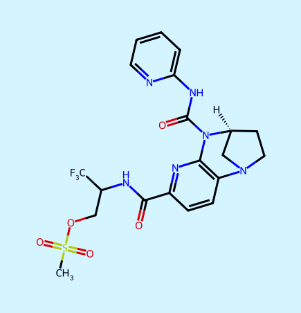 CS(=O)(=O)OCC(NC(=O)c1ccc2c(n1)N(C(=O)Nc1ccccn1)[C@H]1CCN2C1)C(F)(F)F